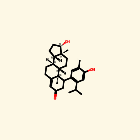 Cc1cc(C2CC(=O)C=C3CC[C@H]4[C@@H]5CC[C@H](O)[C@@]5(C)CC[C@@H]4[C@]32C)c(C(C)C)cc1O